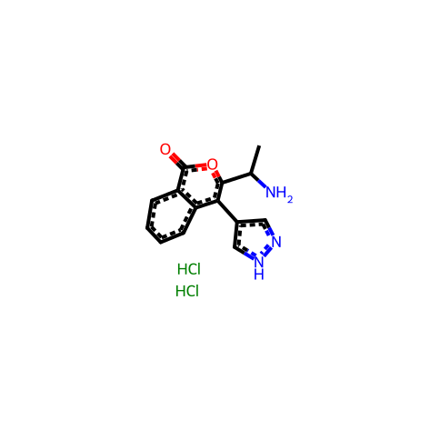 CC(N)c1oc(=O)c2ccccc2c1-c1cn[nH]c1.Cl.Cl